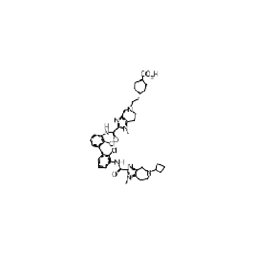 Cn1c(C(=O)Nc2cccc(-c3cccc(NC(=O)c4nc5c(n4C)CCN(C4CCC4)C5)c3Cl)c2Cl)nc2c1CCN(CC[C@H]1CC[C@H](C(=O)O)CC1)C2